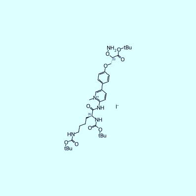 C[n+]1cc(-c2ccc(OC[C@H](ON)C(=O)OC(C)(C)C)cc2)ccc1NC(=O)[C@H](CCCCNC(=O)OC(C)(C)C)NC(=O)OC(C)(C)C.[I-]